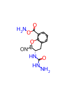 NNC(=O)N[C@H]1Cc2cccc(C(=O)ON)c2OB1N=O